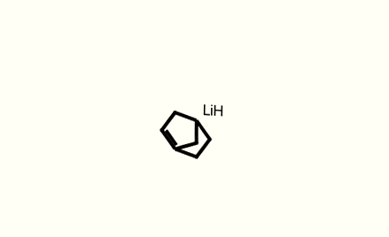 C1=C2CCC(C1)C2.[LiH]